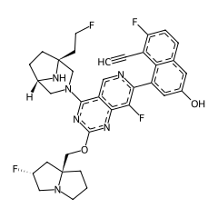 C#Cc1c(F)ccc2cc(O)cc(-c3ncc4c(N5C[C@@H]6CC[C@](CCF)(C5)N6)nc(OC[C@@]56CCCN5C[C@H](F)C6)nc4c3F)c12